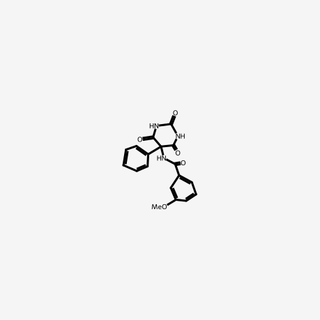 COc1cccc(C(=O)NC2(c3ccccc3)C(=O)NC(=O)NC2=O)c1